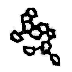 c1ccc(-c2nc(-c3ccccc3)nc(-n3ccc4ccc5c(ccc6c5c5c7ccccc7ccc5n6-c5ccccc5)c43)n2)cc1